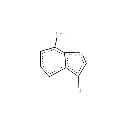 Nc1csc2c(N)cccc12